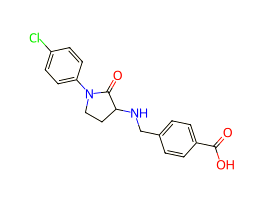 O=C(O)c1ccc(CNC2CCN(c3ccc(Cl)cc3)C2=O)cc1